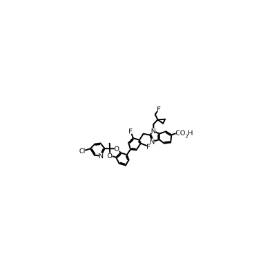 CC1(c2ccc(Cl)cn2)Oc2cccc(-c3cc(F)c(Cc4nc5ccc(C(=O)O)cc5n4CC4(CF)CC4)c(F)c3)c2O1